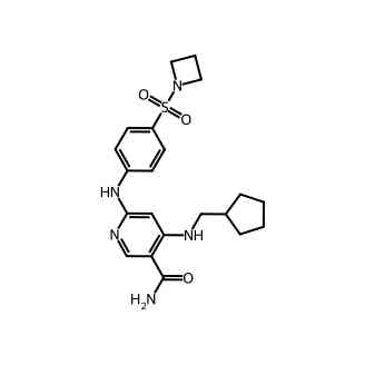 NC(=O)c1cnc(Nc2ccc(S(=O)(=O)N3CCC3)cc2)cc1NCC1CCCC1